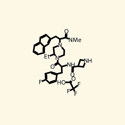 CCC1CN(C(Cc2ccc3ccccc3c2)C(=O)NC)CCN1C(=O)C(Cc1ccc(F)cc1)NC(=O)C1CNC1.O=C(O)C(F)(F)F